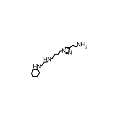 NCCc1cn(CCCCNCCCNC2CCCCC2)cn1